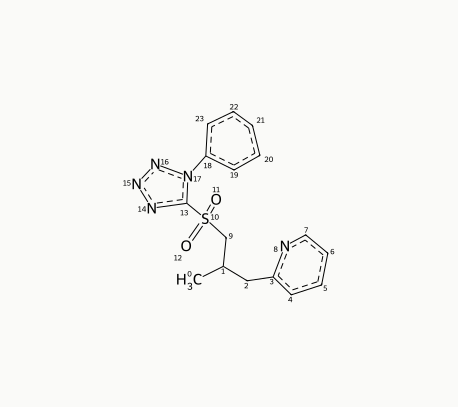 CC(Cc1ccccn1)CS(=O)(=O)c1nnnn1-c1ccccc1